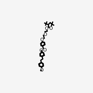 COc1ccc(CCc2ccc(OC(=O)c3ccc(OCCOCCOC(=O)C(CC(C)(C)C)C(C)(C)C)cc3)cc2)cc1